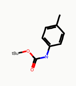 Cc1ccc([N]C(=O)OC(C)(C)C)cc1